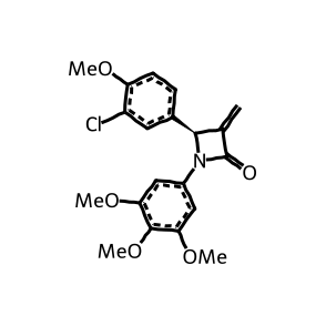 C=C1C(=O)N(c2cc(OC)c(OC)c(OC)c2)[C@H]1c1ccc(OC)c(Cl)c1